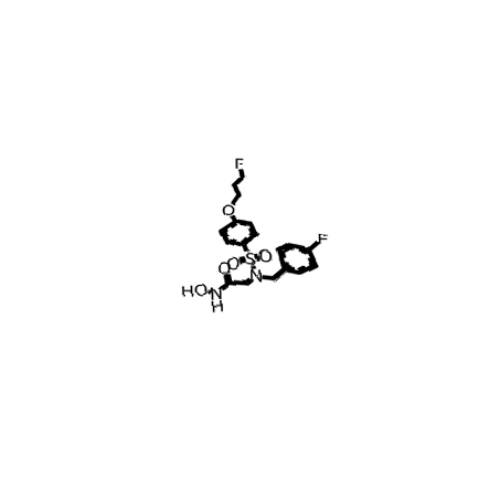 O=C(CN(Cc1ccc(F)cc1)S(=O)(=O)c1ccc(OCCCF)cc1)NO